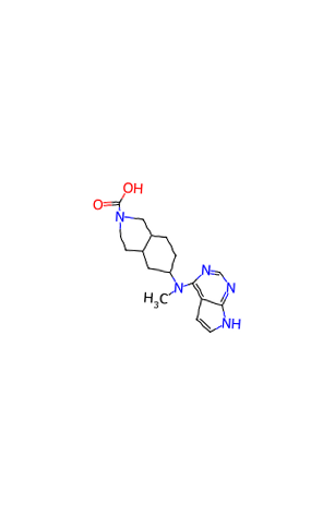 CN(c1ncnc2[nH]ccc12)C1CCC2CN(C(=O)O)CCC2C1